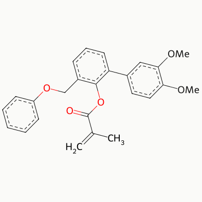 C=C(C)C(=O)Oc1c(COc2ccccc2)cccc1-c1ccc(OC)c(OC)c1